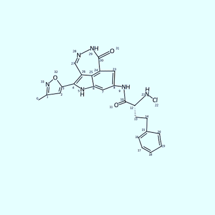 Cc1cc(-c2[nH]c3cc(NC(=O)[C@@H](CCc4ccccc4)NCl)cc4c3c2C=NNC4=O)on1